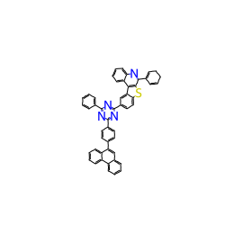 C1=CC(c2nc3ccccc3c3c2sc2ccc(-c4nc(-c5ccccc5)nc(-c5ccc(-c6cc7ccccc7c7ccccc67)cc5)n4)cc23)=CCC1